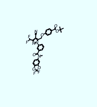 CN(C(=O)c1cccc(-n2nc(C(F)F)c(C#N)c2COc2ccc(C(=O)OC(C)(C)C)cc2)c1)c1ccc2c(c1)OC(F)(F)O2